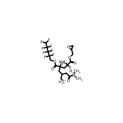 CCC(CC(=O)N(C)C)CC(C)(CC(C)(C)C(=O)OCC1CO1)C(=O)OCC(F)(F)C(F)(F)C(F)(F)C(F)F